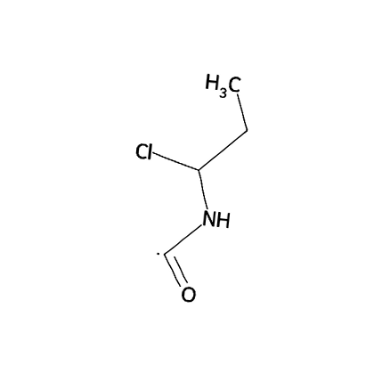 CCC(Cl)N[C]=O